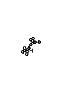 CC1C=CC=CC1c1c(Nc2ccc(-c3ccc(N(c4ccc(-c5ccccc5)cc4)c4cccc5ccccc45)cc3)cc2)c2c(c3ccccc13)CCC=C2